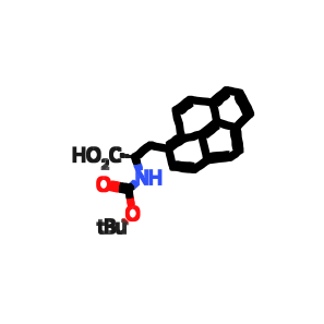 CC(C)(C)OC(=O)N[C@@H](Cc1ccc2ccc3cccc4ccc1c2c34)C(=O)O